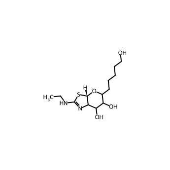 CCNC1=NC2C(O)C(O)C(CCCCCO)O[C@H]2S1